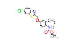 COC(=O)Nc1ccc(OCc2nc3ccc(Cl)cc3s2)cc1C